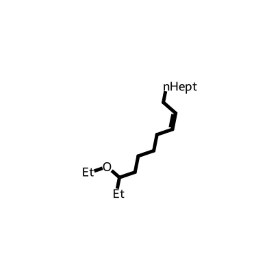 CCCCCCCC/C=C\CCCCC(CC)OCC